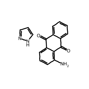 Nc1cccc2c1C(=O)c1ccccc1C2=O.c1cn[nH]c1